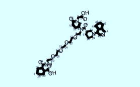 O=C(O)Cn1cc(N(CCOCCOCCOCCOCCNC(=O)c2ccccc2C(=O)O)C(=O)[C@H]2CCCN(c3cncc4ccccc34)C2)ccc1=O